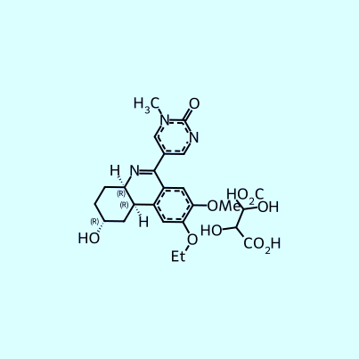 CCOc1cc2c(cc1OC)C(c1cnc(=O)n(C)c1)=N[C@@H]1CC[C@@H](O)C[C@H]21.O=C(O)C(O)C(O)C(=O)O